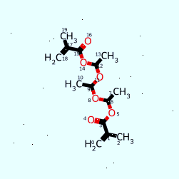 C=C(C)C(=O)OC(C)OC(C)OC(C)OC(=O)C(=C)C